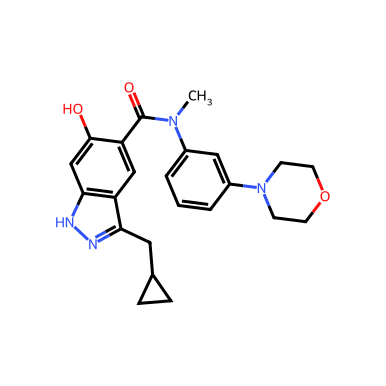 CN(C(=O)c1cc2c(CC3CC3)n[nH]c2cc1O)c1cccc(N2CCOCC2)c1